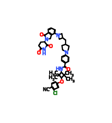 CC1(C)C(NC(=O)c2ccc(N3CCC(CC4CN(c5cccc6c5CN(C5CCC(=O)NC5=O)C6=O)C4)CC3)cc2)C(C)(C)C1Oc1ccc(C#N)c(Cl)c1